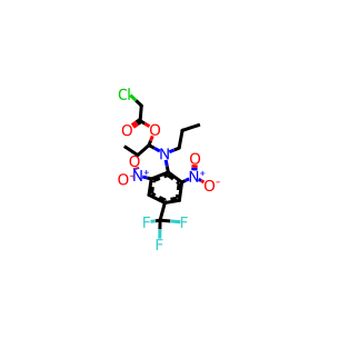 CCCN(c1c([N+](=O)[O-])cc(C(F)(F)F)cc1[N+](=O)[O-])C(CC)OC(=O)CCl